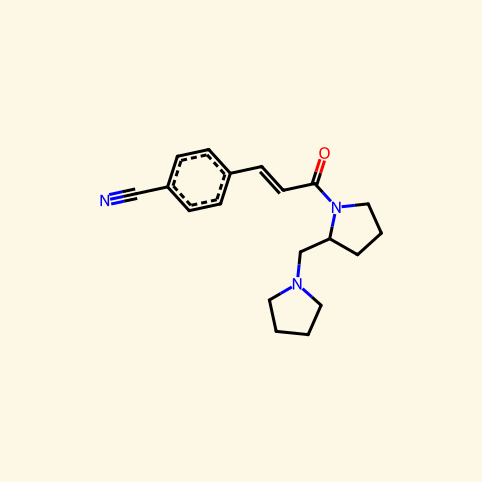 N#Cc1ccc(C=CC(=O)N2CCCC2CN2CCCC2)cc1